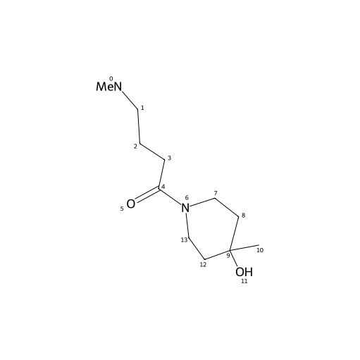 CNCCCC(=O)N1CCC(C)(O)CC1